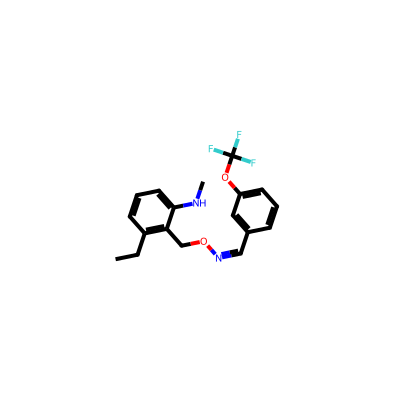 CCc1cccc(NC)c1CO/N=C\c1cccc(OC(F)(F)F)c1